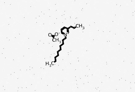 CC(=O)[O-].CCCCCCCCCC[n+]1cccc(CCC)c1